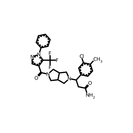 Cc1ccc(C(CC(N)=O)N2CC3CN(C(=O)c4cnn(-c5ccccc5)c4C(F)(F)F)CC3C2)cc1Cl